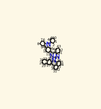 c1ccc(-n2c3ccccc3c3ccc(-c4nc(N5c6cc7ccccc7cc6-c6cccc7cccc5c67)nc5ccccc45)cc32)cc1